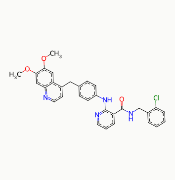 COc1cc2nccc(Cc3ccc(Nc4ncccc4C(=O)NCc4ccccc4Cl)cc3)c2cc1OC